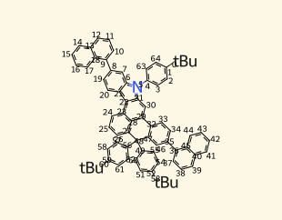 CC(C)(C)c1ccc(-n2c3cc(-c4cccc5ccccc45)ccc3c3c4cccc5c4c(cc32)-c2ccc(-c3cccc4ccccc34)cc2C5(c2ccc(C(C)(C)C)cc2)c2ccc(C(C)(C)C)cc2)cc1